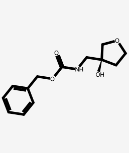 O=C(NC[C@@]1(O)CCOC1)OCc1ccccc1